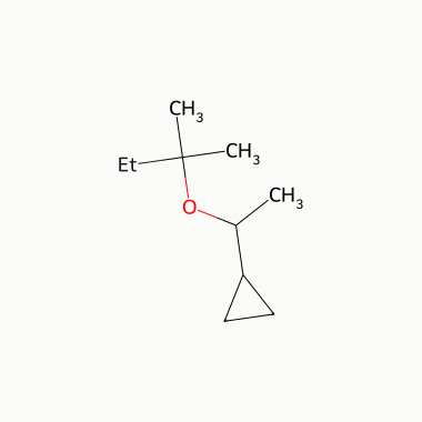 [CH2]CC(C)(C)OC(C)C1CC1